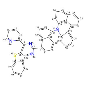 c1ccc(-c2nc(-c3cccc4c(N5c6ccccc6-c6cccc7cccc5c67)cccc34)nc3c2sc2ccccc23)nc1